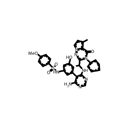 COc1ccc(S(=O)(=O)Nc2cc(O)cc(-c3c(N)ncnc3NC(C)c3nn4ccc(C)c4c(=O)n3-c3ccccc3)c2)cc1